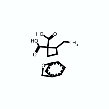 CCC1CCC1(C(=O)O)C(=O)O.c1cc2cc(c1)OC2